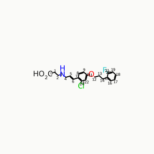 O=C(O)CCNC/C=C/c1ccc(OCCCc2ccccc2F)cc1Cl